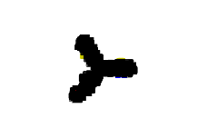 CC1(C)c2cc(-c3ccccc3)ccc2-c2ccc(-c3cc(-c4ccc(-c5nc6ccccc6s5)cc4)cc(-c4ccc(C5Cc6ccccc6S5)cc4)c3)cc21